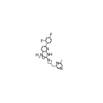 Cc1cncc(CC2CN(C(=O)Nc3nc(-c4ccc(F)cc4F)ccc3N)C2)n1